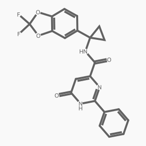 O=C(NC1(c2ccc3c(c2)OC(F)(F)O3)CC1)c1cc(=O)[nH]c(-c2ccccc2)n1